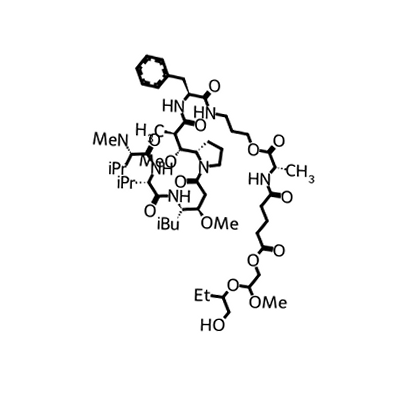 CCC(CO)OC(COC(=O)CCCC(=O)N[C@@H](C)C(=O)OCCCNC(=O)[C@H](Cc1ccccc1)NC(=O)[C@H](C)[C@@H](OC)[C@@H]1CCCN1C(=O)C[C@@H](OC)[C@@H](NC(=O)[C@@H](NC(=O)[C@@H](NC)C(C)C)C(C)C)[C@@H](C)CC)OC